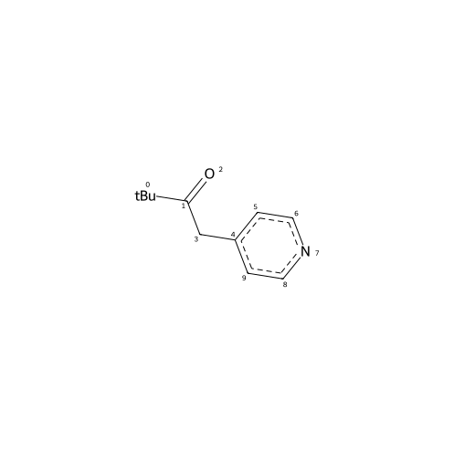 CC(C)(C)C(=O)Cc1ccncc1